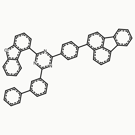 c1ccc(-c2cccc(-c3nc(-c4ccc(-c5ccc6c7c(cccc57)-c5ccccc5-6)cc4)nc(-c4cccc5oc6ccccc6c45)n3)c2)cc1